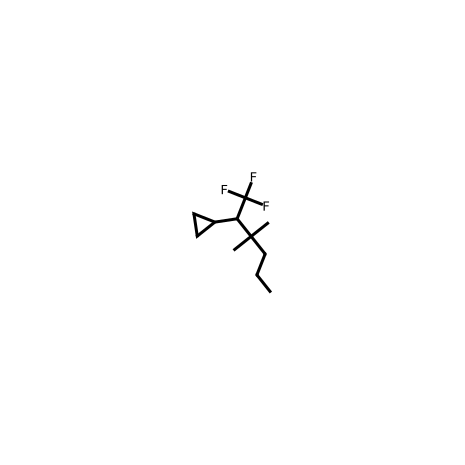 CCCC(C)(C)C(C1CC1)C(F)(F)F